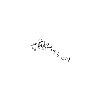 CC1(C)CCC(OC(=O)CCCCCCCCC(=O)O)C(C)(C)N1OC1CCCCC1